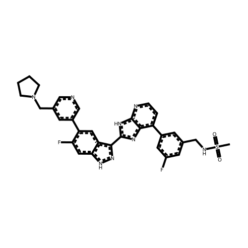 CS(=O)(=O)NCc1cc(F)cc(-c2ccnc3[nH]c(-c4n[nH]c5cc(F)c(-c6cncc(CN7CCCC7)c6)cc45)nc23)c1